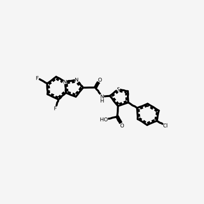 O=C(Nc1scc(-c2ccc(Cl)cc2)c1C(=O)O)c1cc2c(F)cc(F)cn2n1